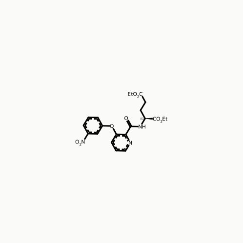 CCOC(=O)CC[C@H](NC(=O)c1ncccc1Oc1cccc([N+](=O)[O-])c1)C(=O)OCC